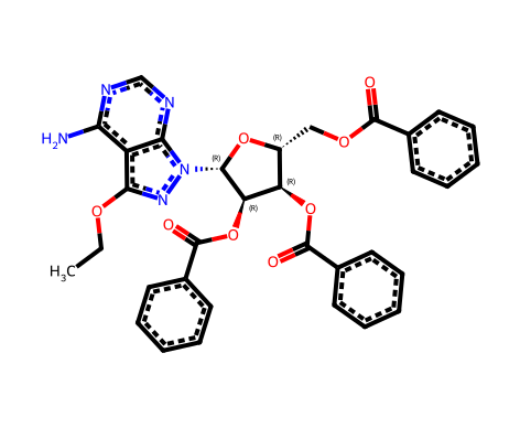 CCOc1nn([C@@H]2O[C@H](COC(=O)c3ccccc3)[C@@H](OC(=O)c3ccccc3)[C@H]2OC(=O)c2ccccc2)c2ncnc(N)c12